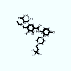 CCN(Cc1ccc(C(=O)Nc2ccc(Cl)cc2N2CCN(CCC(F)(F)F)CC2)c(F)c1F)C(CO)C(N)=O